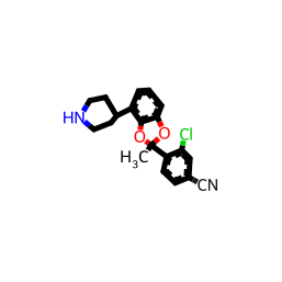 CC1(c2ccc(C#N)cc2Cl)Oc2cccc(C3CCNCC3)c2O1